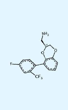 NC[C@H]1COc2cccc(-c3ccc(F)cc3C(F)(F)F)c2O1